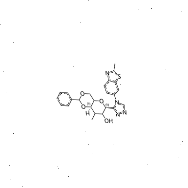 Cc1nc2ccc(-n3cnnc3[C@@H]3OC4COC(c5ccccc5)O[C@@H]4C(C)C3O)cc2s1